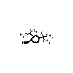 CC(C)c1cc(C(C)(C)C)ccc1C#N